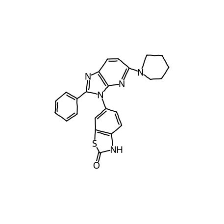 O=c1[nH]c2ccc(-n3c(-c4ccccc4)nc4ccc(N5CCCCC5)nc43)cc2s1